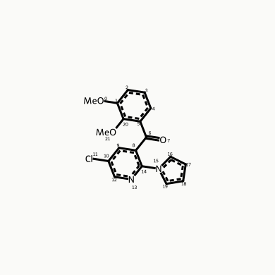 COc1cccc(C(=O)c2cc(Cl)cnc2-n2cccc2)c1OC